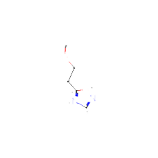 COCCc1ncno1